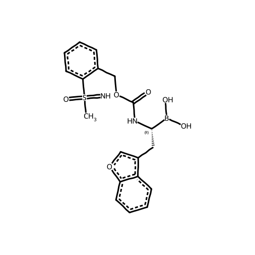 CS(=N)(=O)c1ccccc1COC(=O)N[C@@H](Cc1coc2ccccc12)B(O)O